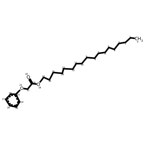 CCCCCCCCCCCCCCCCCCOC(=O)COc1ccccc1